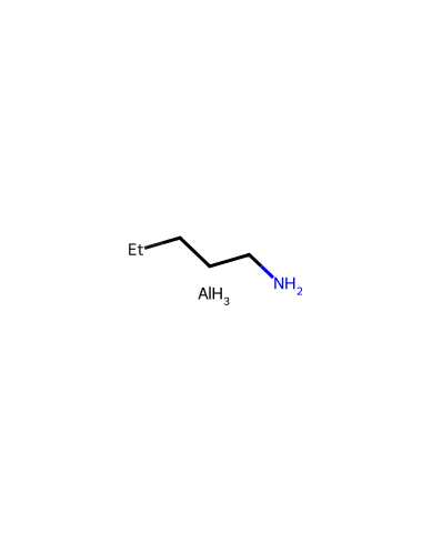 CCCCCN.[AlH3]